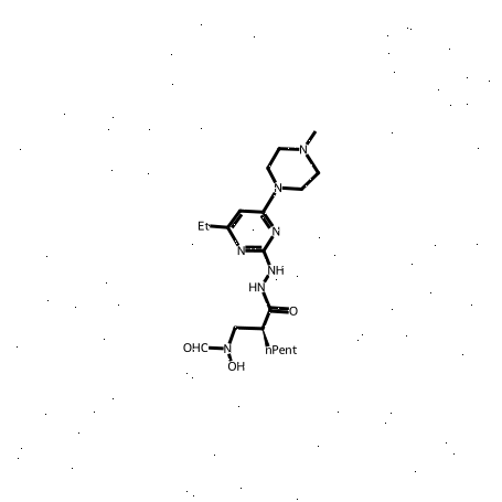 CCCCC[C@@H](CN(O)C=O)C(=O)NNc1nc(CC)cc(N2CCN(C)CC2)n1